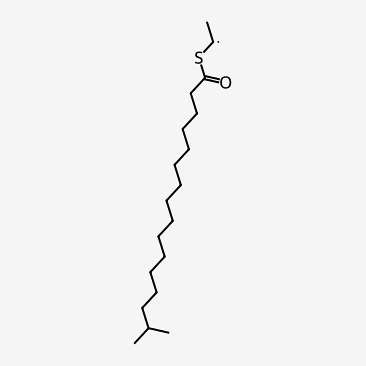 C[CH]SC(=O)CCCCCCCCCCCCCC(C)C